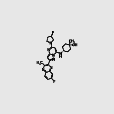 Cc1nc2ccc(F)cc2nc1-c1cc2nc(N3CC[C@@H](F)C3)cc(N[C@H]3CC[C@@](C)(O)CC3)n2n1